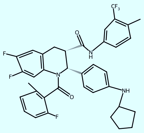 Cc1ccc(NC(=O)[C@H]2Cc3cc(F)c(F)cc3N(C(=O)c3c(C)cccc3F)[C@H]2c2ccc(NC3CCCC3)cc2)cc1C(F)(F)F